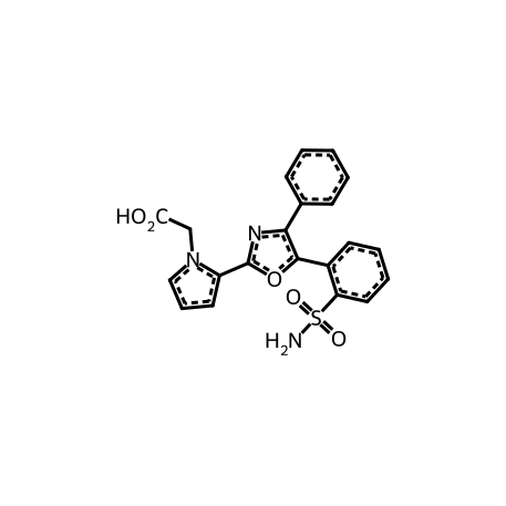 NS(=O)(=O)c1ccccc1-c1oc(-c2cccn2CC(=O)O)nc1-c1ccccc1